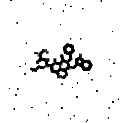 COC(=O)[C@H](Cc1c[nH]c2ccccc12)N(Cc1ccccc1)C(=O)[C@H](CC(=O)O)NC(=O)[C@H](CCSC)NC(=O)[C@H](C)N